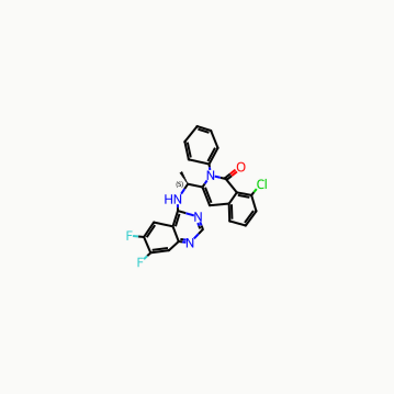 C[C@H](Nc1ncnc2cc(F)c(F)cc12)c1cc2cccc(Cl)c2c(=O)n1-c1ccccc1